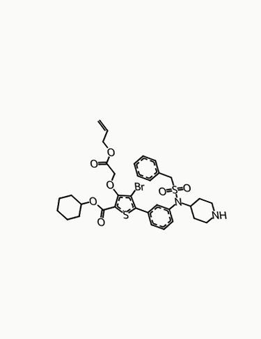 C=CCOC(=O)COc1c(C(=O)OC2CCCCC2)sc(-c2cccc(N(C3CCNCC3)S(=O)(=O)Cc3ccccc3)c2)c1Br